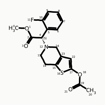 COC(=O)[C@H](c1ccccc1F)N1CCc2sc(OC(C)=O)cc2C1